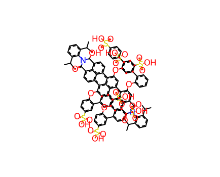 CC(C)c1cccc(C(C)C)c1N1C(=O)c2cc(Oc3ccccc3-c3ccc(S(=O)(=O)O)cc3)c3c4cc(Oc5ccc(S(=O)(=O)O)cc5-c5ccc(S(=O)(=O)O)cc5)c5c6ccc7c8c(ccc(c9c(Oc%10ccc(S(=O)(=O)O)cc%10-c%10ccc(S(=O)(=O)O)cc%10)cc(c%10c(Oc%11ccc(S(=O)(=O)O)cc%11-c%11ccc(S(=O)(=O)O)cc%11)cc(c2c3%10)C1=O)c4c59)c86)C(=O)N(c1c(C(C)C)cccc1C(C)C)C7O